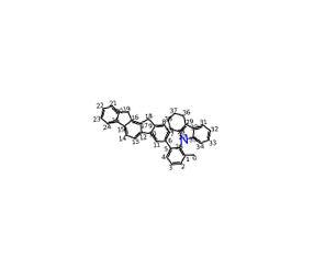 Cc1cccc(-c2ccc3c(c2)-c2ccc4c(c2C3)Cc2ccccc2-4)c1-n1c2c(c3ccccc31)CCCC2